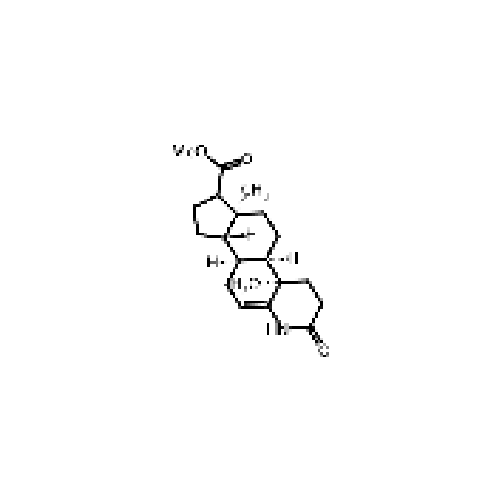 COC(=O)C1CC[C@H]2[C@@H]3CC=C4NC(=O)CC[C@]4(C)[C@@H]3CC[C@]12C